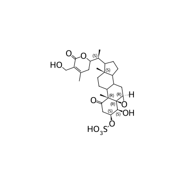 CC1=C(CO)C(=O)OC([C@@H](C)C2CCC3C4C[C@H]5O[C@]56[C@@H](O)[C@@H](OS(=O)(=O)O)CC(=O)[C@]6(C)C4CC[C@@]32C)C1